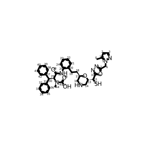 Cc1ccnn1Cc1nnc(C(S)[C@@H]2CNC[C@@H](CCc3ccccc3NC(=O)[C@H](C(c3ccccc3)c3ccccc3)N(C)C(=O)O)O2)o1